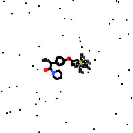 CCCCC(C(=O)N1CCCCC1)c1ccc(OCCS(C)(C)(C)(C)C)cc1